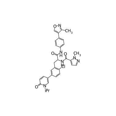 Cc1nocc1-c1ccc(NC(=O)C(Cc2cc(-c3ccc(=O)n(C(C)C)c3)ccc2Cl)NC(=O)c2ccnn2C)cc1